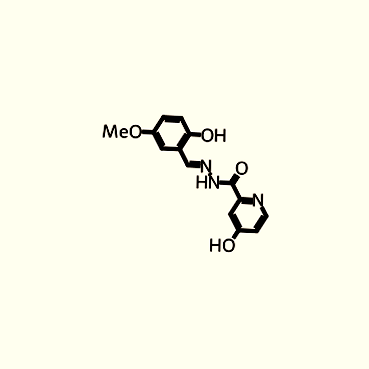 COc1ccc(O)c(/C=N/NC(=O)c2cc(O)ccn2)c1